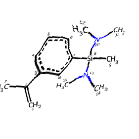 C=C(C)c1cccc([Si](C)(N(C)C)N(C)C)c1